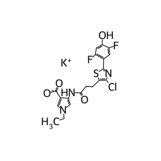 CCn1cc(NC(=O)CCc2sc(-c3cc(F)c(O)cc3F)nc2Cl)c(C(=O)[O-])c1.[K+]